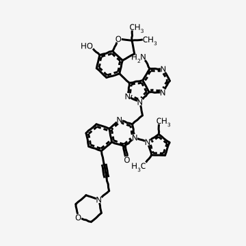 Cc1ccc(C)n1-n1c(Cn2nc(-c3ccc(O)c4c3CC(C)(C)O4)c3c(N)ncnc32)nc2cccc(C#CCN3CCOCC3)c2c1=O